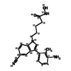 Cc1c(N)cccc1-c1cn(CCCCC(=O)NO)c2ccc(C#N)cc12